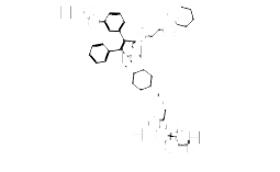 COc1cccc(-c2c(SCCOC3CCCCO3)nn(C[C@H]3CC[C@H](COCC(=O)OC(C)(C)C)CC3)c2-c2ccccc2)c1